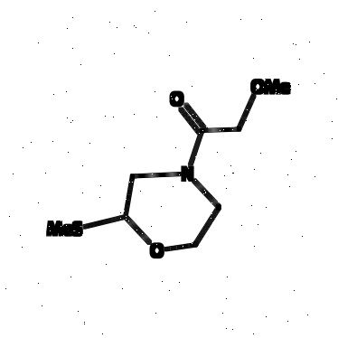 COCC(=O)N1CCOC(SC)C1